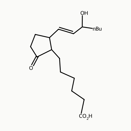 CCCCC(O)/C=C/C1CCC(=O)C1CCCCCC(=O)O